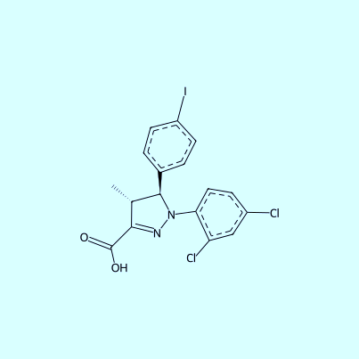 C[C@H]1C(C(=O)O)=NN(c2ccc(Cl)cc2Cl)[C@@H]1c1ccc(I)cc1